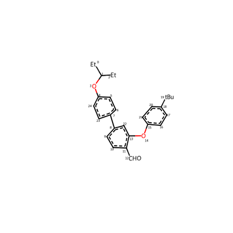 CCC(CC)Oc1ccc(-c2ccc(C=O)c(Oc3ccc(C(C)(C)C)cc3)c2)cc1